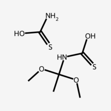 COC(C)(NC(O)=S)OC.NC(O)=S